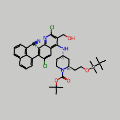 CC(C)(C)OC(=O)N1CC[C@H](Nc2c(CO)c(Cl)nc3c(F)c(-c4cccc5cccc(C#N)c45)c(Cl)cc23)C[C@H]1CCO[Si](C)(C)C(C)(C)C